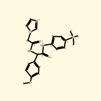 COc1ccc(C(NC(=O)Cn2ccnc2)C(=O)Nc2ccc([Si](C)(C)C)cc2)cc1